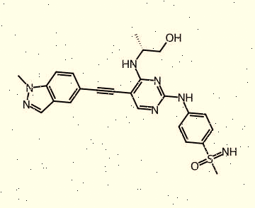 C[C@H](CO)Nc1nc(Nc2ccc(S(C)(=N)=O)cc2)ncc1C#Cc1ccc2c(cnn2C)c1